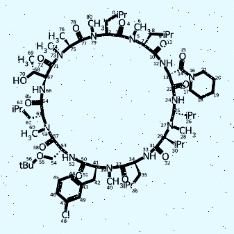 CC(C)CC1C(=O)N(C)[C@@H](CC(C)C)C(=O)N[C@H](C(=O)N2CCCCC2)C(=O)N[C@H](C(C)C)N(C)[C@@H](C(C)C)C(=O)N[C@@H](CC(C)C)C(=O)N(C)[C@@H](Cc2cccc(Cl)c2)C(=O)N[C@H](COC(C)(C)C)C(=O)N(C)[C@H](CC(C)C)C(=O)N[C@@H]([C@@H](C)O)C(=O)N(C)[C@@H](C)C(=O)N1C